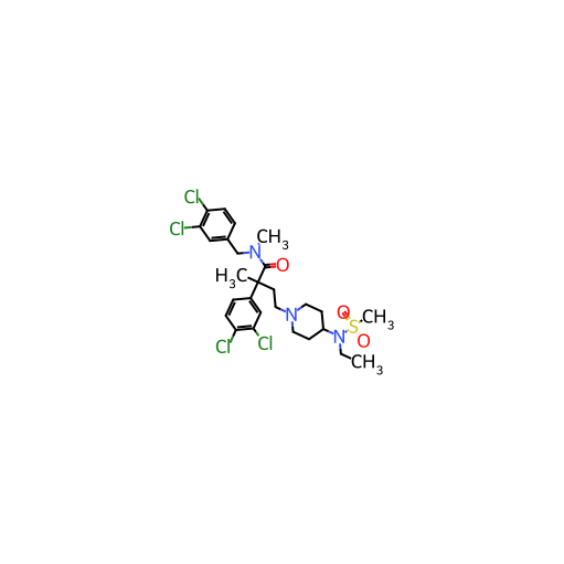 CCN(C1CCN(CCC(C)(C(=O)N(C)Cc2ccc(Cl)c(Cl)c2)c2ccc(Cl)c(Cl)c2)CC1)S(C)(=O)=O